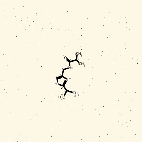 CC(C)C(=O)NCc1coc(C(C)C)n1